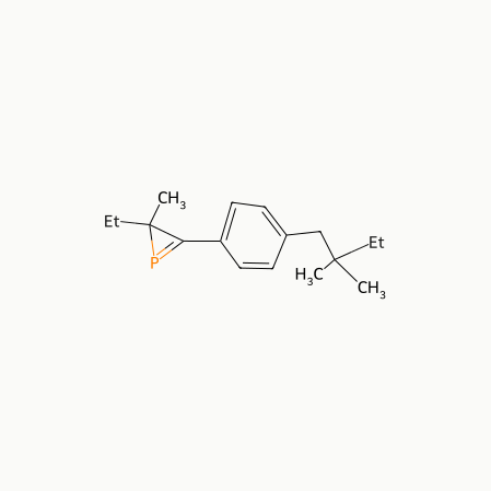 CCC(C)(C)Cc1ccc(C2=PC2(C)CC)cc1